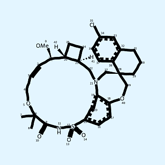 CO[C@@H]1C=CCOC(C)(C)C(=O)NS(=O)(=O)c2ccc3c(c2)N(C[C@@H]2CC[C@H]21)C[C@@]1(CCCc2cc(Cl)ccc21)CO3